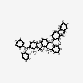 CC1(C)c2cc(N(c3ccccc3)c3ccccc3)ccc2-c2ccc3c(c21)Oc1cccc2c1B3c1ccc3c(oc4ccccc43)c1O2